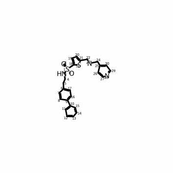 O=S(=O)(NCCc1ccc(-c2ccccc2)cc1)c1ccc(C[N]Cc2ccncc2)s1